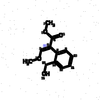 CO/C=C(/C(=O)OC)c1ccccc1CO